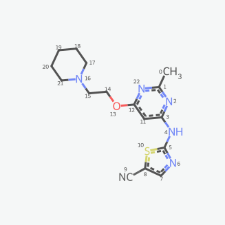 Cc1nc(Nc2ncc(C#N)s2)cc(OCCN2CCCCC2)n1